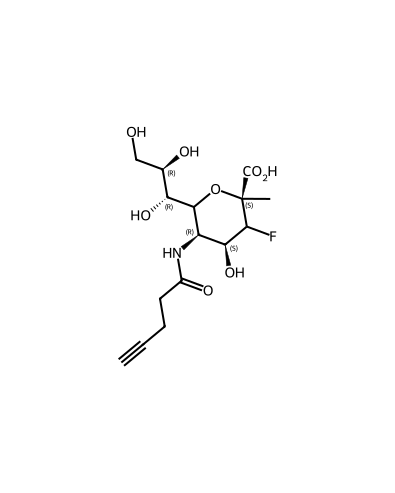 C#CCCC(=O)N[C@H]1C([C@H](O)[C@H](O)CO)O[C@@](C)(C(=O)O)C(F)[C@H]1O